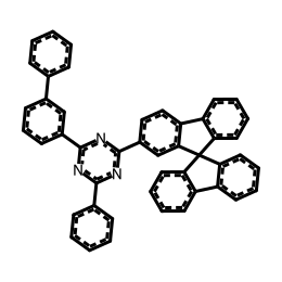 c1ccc(-c2cccc(-c3nc(-c4ccccc4)nc(-c4ccc5c(c4)C4(c6ccccc6-c6ccccc64)c4ccccc4-5)n3)c2)cc1